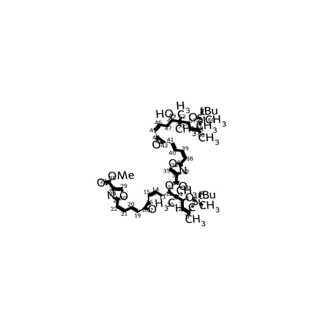 C/C=C/[C@H](O[Si](C)(C)C(C)(C)C)C(C)(C)[C@H](C/C=C\[C@H]1O[C@H]1/C=C/C=C\c1nc(C(=O)OC)co1)OC(=O)c1coc(/C=C\C=C\[C@@H]2O[C@@H]2/C=C\C[C@H](O)C(C)(C)[C@H](/C=C/C)O[Si](C)(C)C(C)(C)C)n1